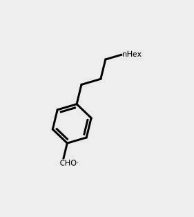 CCCCCCCCCc1ccc([C]=O)cc1